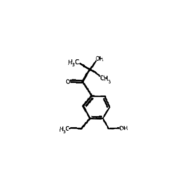 CCc1cc(C(=O)C(C)(C)O)ccc1CO